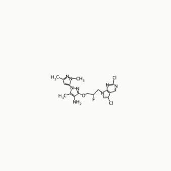 Cc1cc(-n2nc(OCC(F)Cn3cc(Cl)c4cnc(Cl)nc43)c(N)c2C)n(C)n1